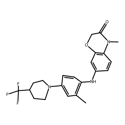 Cc1cc(N2CCC(C(F)(F)F)CC2)ccc1Nc1ccc2c(c1)OCC(=O)N2C